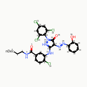 CCCCCCCCCCCCNC(=O)c1ccc(Cl)c(Nc2[nH]n(-c3c(Cl)cc(Cl)cc3Cl)c(=O)c2/N=N/c2ccccc2O)c1